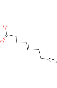 CCC/C=C/CCC([O])=O